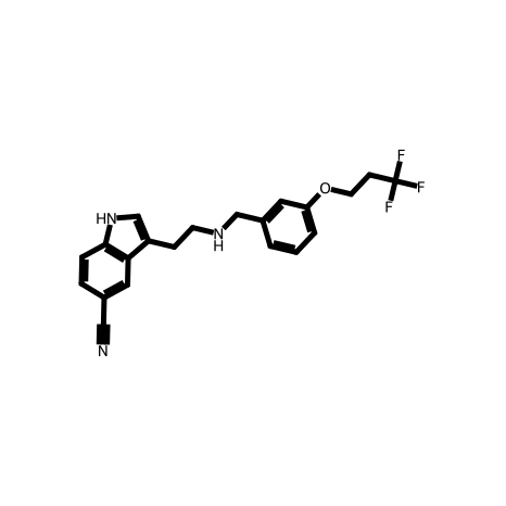 N#Cc1ccc2[nH]cc(CCNCc3cccc(OCCC(F)(F)F)c3)c2c1